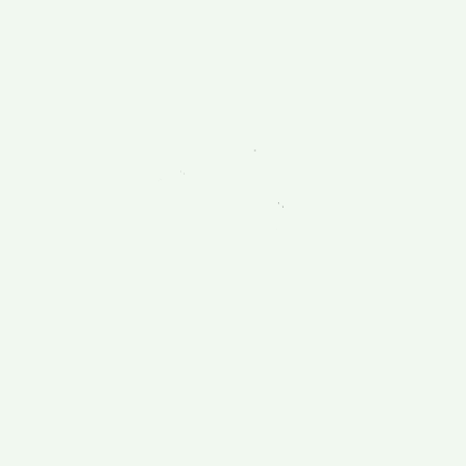 CC(C)(C)OC(=O)N1CCC(O)C(c2ccc(OCc3ccccc3)nc2)C1